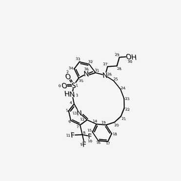 O=S1(=O)Nc2ccc(C(F)(F)F)c(n2)-c2ccccc2CCCCCCN(CCCO)c2cccc1n2